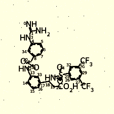 N=C(N)Nc1cccc(S(=O)(=O)Nc2cccc(C(CC(=O)O)NS(=O)(=O)c3cc(C(F)(F)F)cc(C(F)(F)F)c3)c2)c1